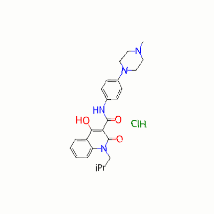 CC(C)Cn1c(=O)c(C(=O)Nc2ccc(N3CCN(C)CC3)cc2)c(O)c2ccccc21.Cl